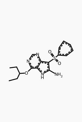 CCC(CC)Oc1ncnc2c(S(=O)(=O)c3ccccc3)c(N)[nH]c12